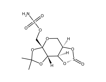 CC1(C)O[C@H]2[C@@H]3O[S@@](=O)O[C@@H]3CO[C@@]2(COS(N)(=O)=O)O1